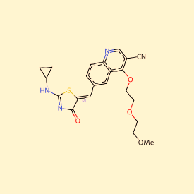 COCCOCCOc1c(C#N)cnc2ccc(/C=C3\SC(NC4CC4)=NC3=O)cc12